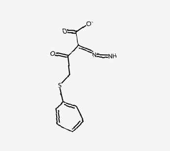 N=[N+]=C(C(=O)[O-])C(=O)CSc1ccccc1